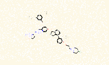 Cc1c(OCCCN2CCC(F)CC2)cccc1-c1cccc2c1CC[C@@H]2Oc1cc(OCc2cc(C#N)cc(C#N)c2)c(CNC[C@@H]2CCC(=O)N2)cc1Cl